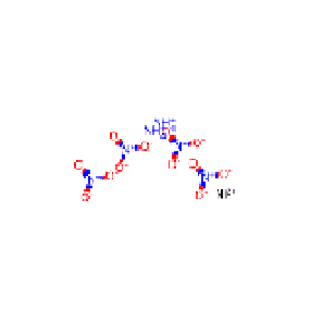 O=[N+]([O-])[O-].O=[N+]([O-])[O-].O=[N+]([O-])[O-].O=[N+]([O-])[O-].[NH4+].[NH4+].[Ni+2]